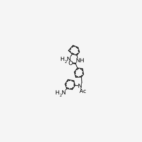 CC(=O)N(Cc1ccc(C(=O)Nc2ccccc2N)cc1)c1cccc(N)c1